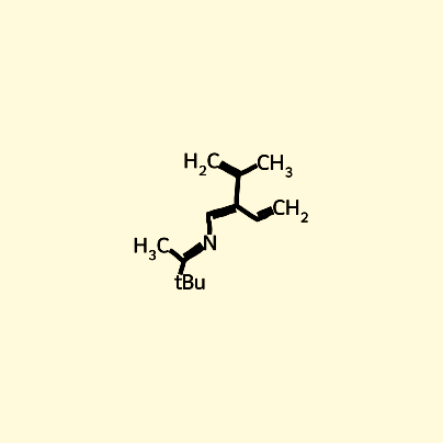 C=C/C(=C\N=C(/C)C(C)(C)C)C(=C)C